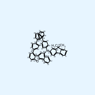 CC1(C)c2ccccc2-c2ccc(N(c3ccc(-c4ccccc4)cc3)c3cc4c(oc5cccc(-c6ccc(-c7ccccc7)cc6)c54)c4ccccc34)cc21